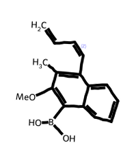 C=C/C=C\c1c(C)c(OC)c(B(O)O)c2ccccc12